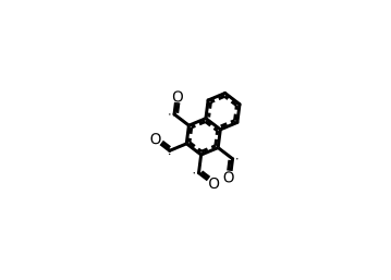 O=[C]c1c([C]=O)c([C]=O)c2ccccc2c1[C]=O